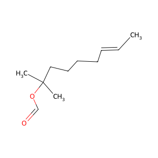 CC=CCCCCC(C)(C)OC=O